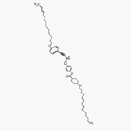 C=C/C=C/CCCCCCCCCCOc1ccc(C#CC(=O)Oc2ccc(OC(=O)C3CCC(OCCCCCCCCCCCCC=C)CC3)cc2)cc1